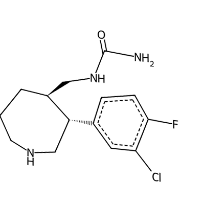 NC(=O)NC[C@@H]1CCCNC[C@H]1c1ccc(F)c(Cl)c1